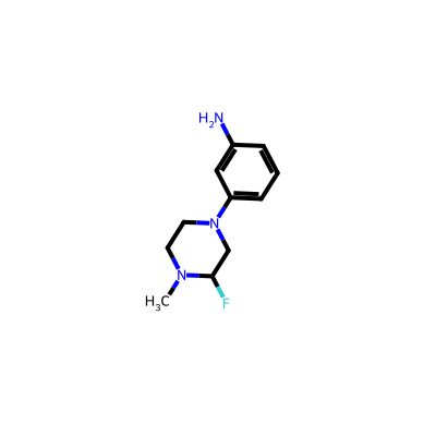 CN1CCN(c2cccc(N)c2)CC1F